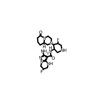 Nc1nn2c(c1C(=O)NC1CNCC(F)C1N1CCN3C(=O)CCC[C@@H]3C1)NCC(F)C2